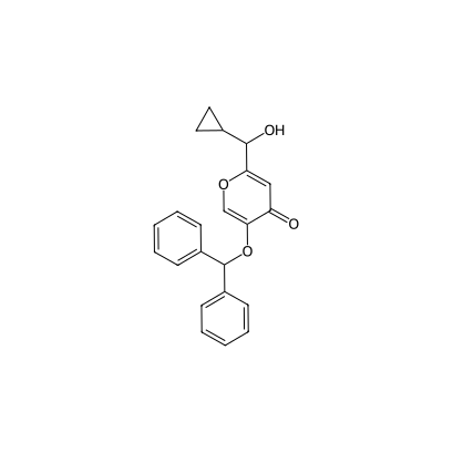 O=c1cc(C(O)C2CC2)occ1OC(c1ccccc1)c1ccccc1